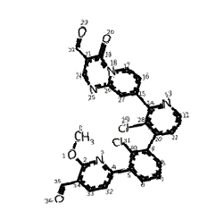 COc1nc(-c2cccc(-c3ccnc(-c4ccn5c(=O)c(C=O)cnc5c4)c3Cl)c2Cl)ccc1C=O